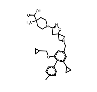 CC1(C(=O)O)CCN(C2=NOC3(C2)CN(Cc2cc(OCC4CC4)c(-c4ccc(F)cc4)c(C4CC4)c2)C3)CC1